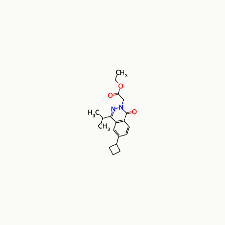 CCOC(=O)Cn1nc(C(C)C)c2cc(C3CCC3)ccc2c1=O